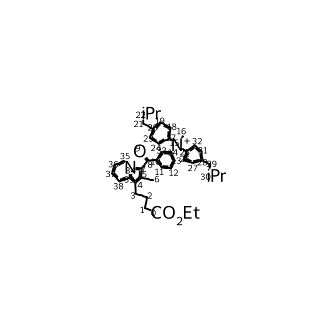 CCOC(=O)CCCc1c(C)c(C(=O)c2cccc([N+](C)(c3ccc(CC(C)C)cc3)c3ccc(CC(C)C)cc3)c2)n2ccccc12